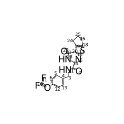 O=C(NCc1ccc(OC(F)F)cc1)c1nc2sc3c(c2c(=O)[nH]1)CCC3